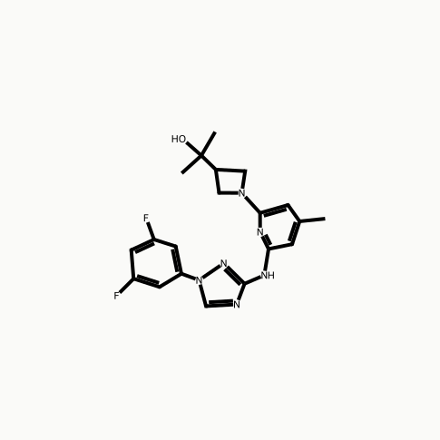 Cc1cc(Nc2ncn(-c3cc(F)cc(F)c3)n2)nc(N2CC(C(C)(C)O)C2)c1